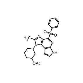 CC(=O)OC1CCCC(n2c(C)nc3c(S(=O)(=O)c4ccccc4)nc4[nH]ccc4c32)C1